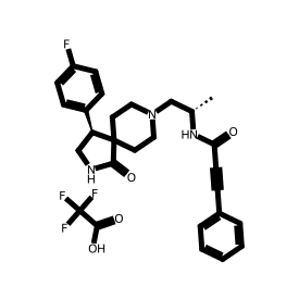 C[C@@H](CN1CCC2(CC1)C(=O)NC[C@H]2c1ccc(F)cc1)NC(=O)C#Cc1ccccc1.O=C(O)C(F)(F)F